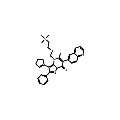 Cc1c(-c2ccc3ncccc3c2)c(=O)n2nc(-c3ccccc3)c(C3=CCCC3)c2n1COCC[Si](C)(C)C